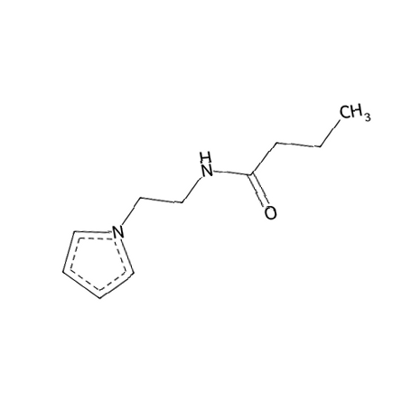 CCCC(=O)NCCn1cccc1